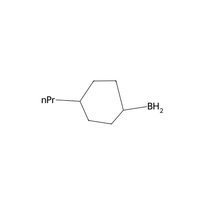 BC1CCC(CCC)CC1